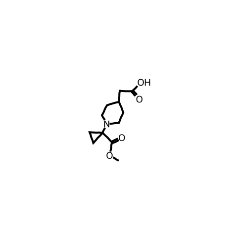 COC(=O)C1(N2CCC(CC(=O)O)CC2)CC1